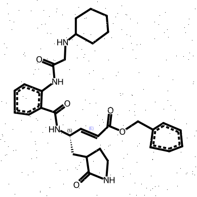 O=C(CNC1CCCCC1)Nc1ccccc1C(=O)N[C@H](/C=C/C(=O)OCc1ccccc1)CC1CCNC1=O